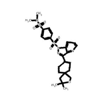 CN(C)S(=O)(=O)c1ccc(S(=O)(=O)n2nc(C3CCC4(CC3)COC(C)(C)C4)c3ncccc32)cc1